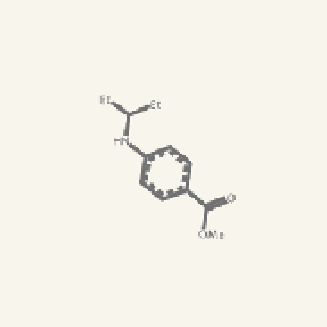 CCC(CC)Nc1ccc(C(=O)OC)cc1